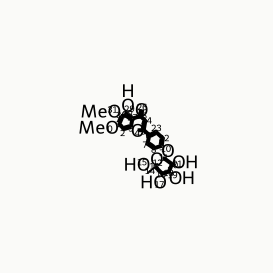 COc1cc2oc(-c3ccc(O[C@@H]4O[C@H](CO)[C@@H](O)[C@H](O)[C@H]4O)cc3)cc(=O)c2c(O)c1OC